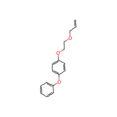 C=CCOCCOc1ccc(Oc2ccccc2)cc1